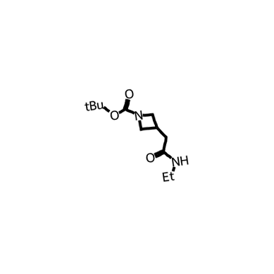 CCNC(=O)CC1CN(C(=O)OC(C)(C)C)C1